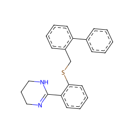 c1ccc(-c2ccccc2CSc2ccccc2C2=NCCCN2)cc1